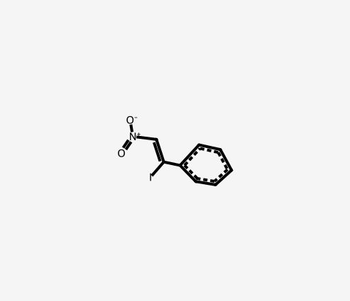 O=[N+]([O-])C=C(I)c1ccccc1